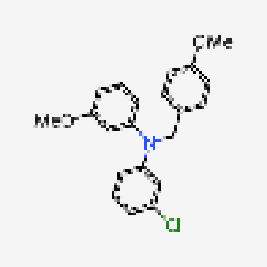 COc1ccc(CN(c2cccc(Cl)c2)c2cccc(OC)c2)cc1